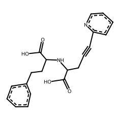 O=C(O)C(CC#Cc1ccccn1)NC(CCc1ccccc1)C(=O)O